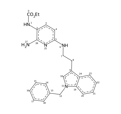 CCOC(=O)Nc1ccc(NCCc2cn(Cc3ccccc3)c3ccccc23)nc1N